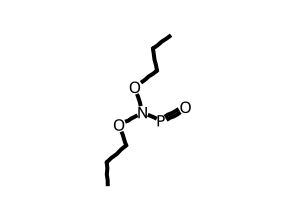 CCCON(OCCC)P=O